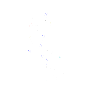 COC(C1=NN(c2ccn(Cc3c(F)cccc3F)n2)C(N)S1)c1nc(C)cs1